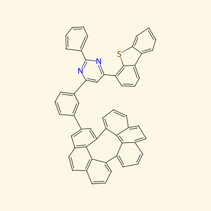 c1ccc(-c2nc(-c3cccc(-c4cc5ccc6cccc7c8cccc9ccc%10cccc(c(c4)c5c67)c%10c98)c3)cc(-c3cccc4c3sc3ccccc34)n2)cc1